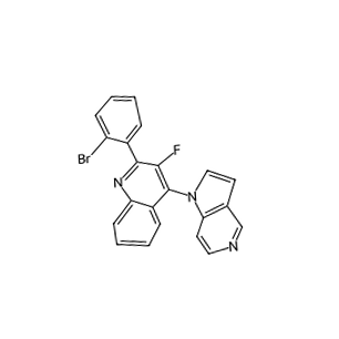 Fc1c(-c2ccccc2Br)nc2ccccc2c1-n1ccc2cnccc21